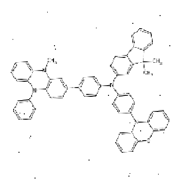 CN1c2ccccc2N(c2ccccc2)c2ccc(-c3ccc(N(c4ccc(N5c6ccccc6Oc6ccccc65)cc4)c4ccc5c(c4)C(C)(C)c4ccccc4-5)cc3)cc21